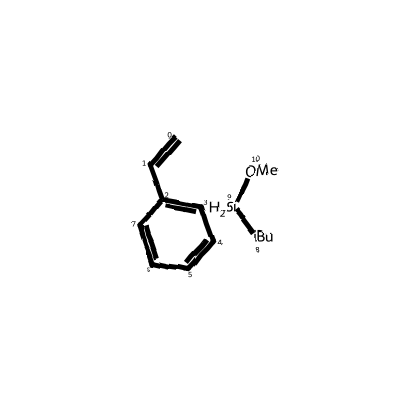 C=Cc1ccccc1.CCC(C)[SiH2]OC